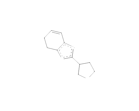 C1=Cc2nc(C3CCOC3)sc2CC1